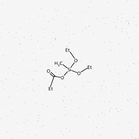 CCO[Si](C)(OCC)OC(=O)CC